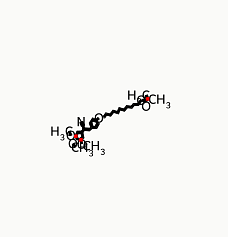 C=C(C)C(=O)OCCCCCCCCCCCOc1ccc(C=C(C#N)c2cc(OC)c(OC)c(OC)c2)cc1